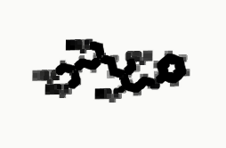 O=C(O)CN(CCN(CC(=O)O)CC(=O)O)CCN(CC(=O)O)[C@H](CCOc1ccccc1)C(=O)O